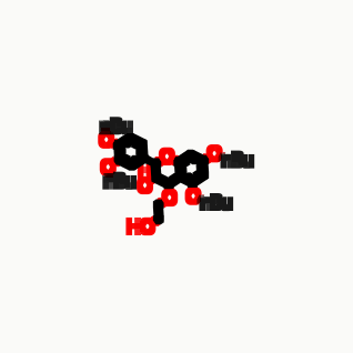 CCCCOc1cc(OCCCC)c2c(c1)O[C@H](c1ccc(OCCCC)c(OCCCC)c1)[C@@H](O)C2OCCO